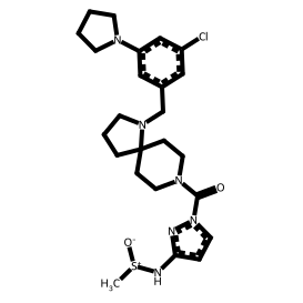 C[S+]([O-])Nc1ccn(C(=O)N2CCC3(CCCN3Cc3cc(Cl)cc(N4CCCC4)c3)CC2)n1